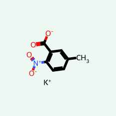 Cc1ccc([N+](=O)[O-])c(C(=O)[O-])c1.[K+]